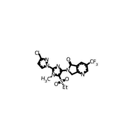 CCS(=O)(=O)c1c(N2Cc3ncc(C(F)(F)F)cc3C2=O)nc(-n2ccc(Cl)n2)n1C